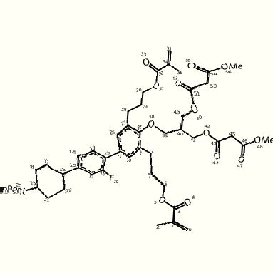 C=C(C)C(=O)OCCCc1cc(-c2ccc(C3CCC(CCCCC)CC3)cc2F)cc(CCCOC(=O)C(=C)C)c1OCC(COC(=O)CC(=O)OC)COC(=O)CC(=O)OC